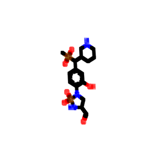 CS(=O)(=O)C(c1ccc(N2CC(C=O)NS2(=O)=O)c(O)c1)C1CCCNC1